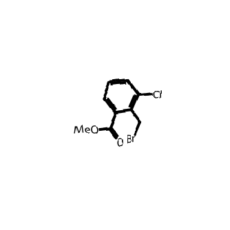 COC(=O)c1cccc(Cl)c1CBr